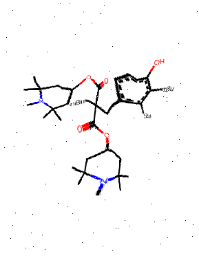 CCCCC(Cc1ccc(O)c(C(C)(C)C)c1C(C)(C)C)(C(=O)OC1CC(C)(C)N(C)C(C)(C)C1)C(=O)OC1CC(C)(C)N(C)C(C)(C)C1